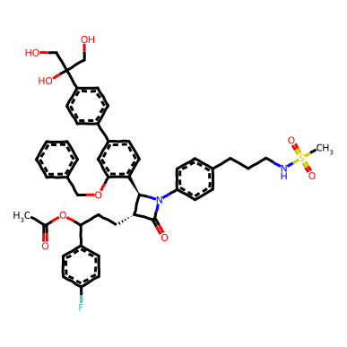 CC(=O)OC(CC[C@H]1C(=O)N(c2ccc(CCCNS(C)(=O)=O)cc2)[C@@H]1c1ccc(-c2ccc(C(O)(CO)CO)cc2)cc1OCc1ccccc1)c1ccc(F)cc1